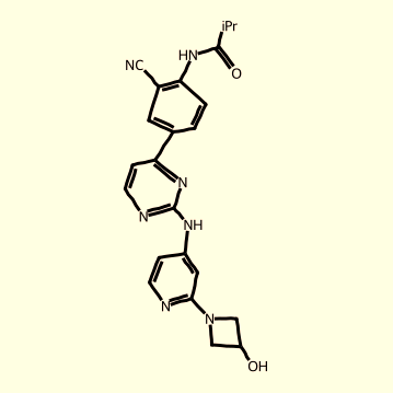 CC(C)C(=O)Nc1ccc(-c2ccnc(Nc3ccnc(N4CC(O)C4)c3)n2)cc1C#N